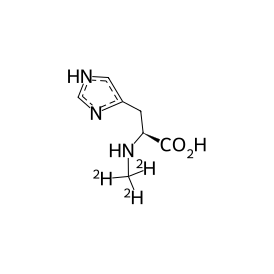 [2H]C([2H])([2H])N[C@@H](Cc1c[nH]cn1)C(=O)O